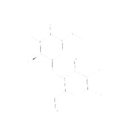 OCC1OC(OC2C(CO)OC(O)C(O)C2O)[C@@H](O)C(O)C1O